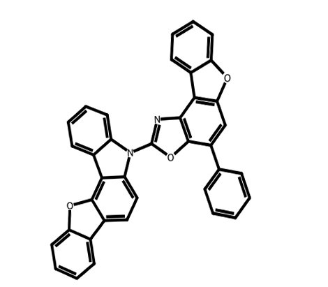 c1ccc(-c2cc3oc4ccccc4c3c3nc(-n4c5ccccc5c5c6oc7ccccc7c6ccc54)oc23)cc1